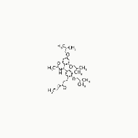 CCOC(=O)CCc1cc(C(NC(C)=O)c2ccc(OCC(C)C)cc2OCC(C)C)ccc1OCC(C)C